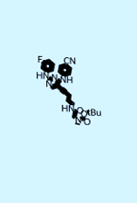 CN(CC(=O)NCCCC#Cc1cnc(Nc2cccc(F)c2)nc1Nc1ccc(C#N)cc1)C(=O)OC(C)(C)C